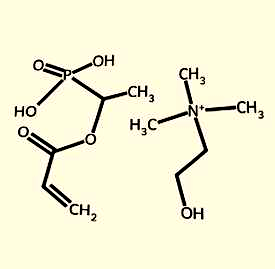 C=CC(=O)OC(C)P(=O)(O)O.C[N+](C)(C)CCO